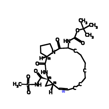 CC(C)(C)OC(=O)NC1CCCCCCC/C=C\[C@@H]2C[C@@]2(C(=O)NS(C)(=O)=O)NC(=O)[C@@H]2CCCN2C1=O